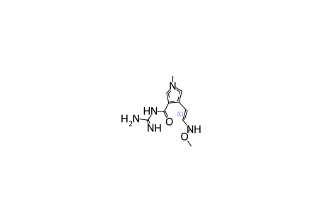 CON/C=C/c1cn(C)cc1C(=O)NC(=N)N